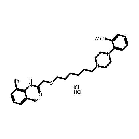 COc1ccccc1N1CCN(CCCCCCSCC(=O)Nc2c(C(C)C)cccc2C(C)C)CC1.Cl.Cl